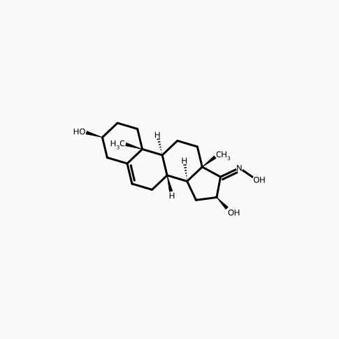 C[C@]12CC[C@H](O)CC1=CC[C@@H]1[C@@H]2CC[C@]2(C)C(=NO)[C@@H](O)C[C@@H]12